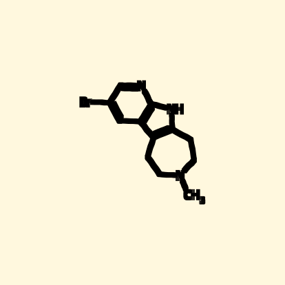 CN1CCc2[nH]c3ncc(Br)cc3c2CC1